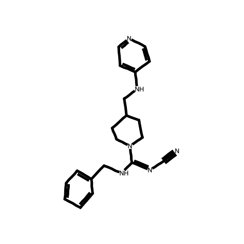 N#C/N=C(/NCc1ccccc1)N1CCC(CNc2ccncc2)CC1